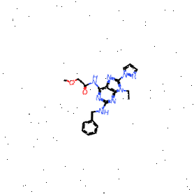 CCn1c(-n2cccn2)nc2c(NC(=O)COC)nc(NCc3ccccc3)nc21